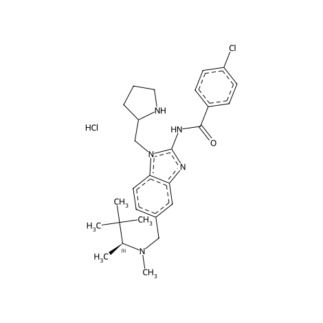 C[C@H](N(C)Cc1ccc2c(c1)nc(NC(=O)c1ccc(Cl)cc1)n2CC1CCCN1)C(C)(C)C.Cl